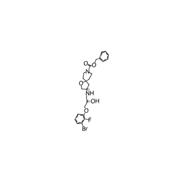 O=C(OCc1ccccc1)N1CCC2(CC1)C[C@H](NC[C@H](O)COc1cccc(Br)c1F)CO2